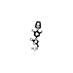 NCC1CN(c2cc(F)c(N3CC4CCC(C3)O4)c(F)c2)C(=O)O1